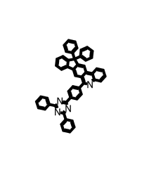 c1ccc(-c2nc(-c3ccccc3)nc(-c3ccc(-c4nc5ccccc5c5cc6c(cc45)-c4ccccc4C6(c4ccccc4)c4ccccc4)cc3)n2)cc1